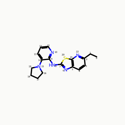 CCc1ccc2nc(Nc3ncccc3N3CCCC3)sc2n1